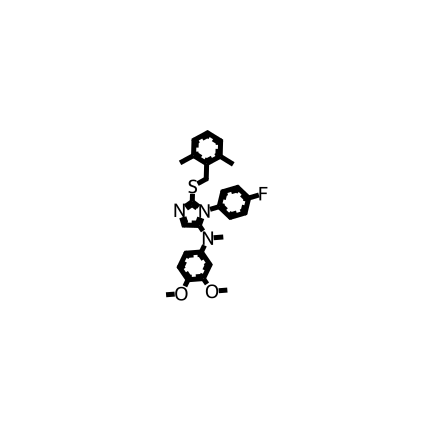 COc1ccc(N(C)c2cnc(SCc3c(C)cccc3C)n2-c2ccc(F)cc2)cc1OC